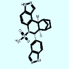 CS(=O)(=O)N1c2ccc3[nH]ncc3c2[C@H]2C3CCC(C3)[C@H]2[C@@H]1c1ccc2[nH]ncc2c1